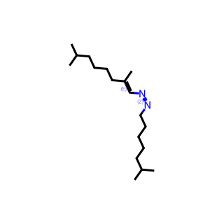 C/C(=C\N=N/CCCCCC(C)C)CCCCC(C)C